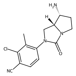 Cc1c(N2C[C@@H]3[C@H](N)CCN3C2=O)ccc(C#N)c1Cl